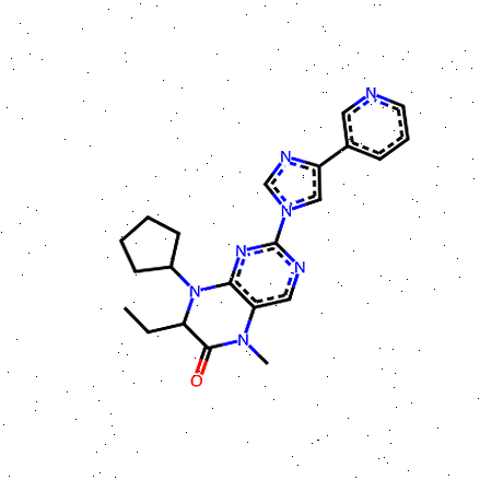 CCC1C(=O)N(C)c2cnc(-n3cnc(-c4cccnc4)c3)nc2N1C1CCCC1